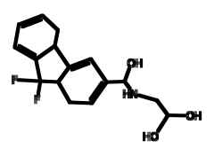 OC(O)CNC(O)C1=CCC2C(=C1)C1CC=CC=C1C2(F)F